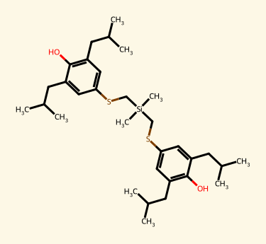 CC(C)Cc1cc(SC[Si](C)(C)CSc2cc(CC(C)C)c(O)c(CC(C)C)c2)cc(CC(C)C)c1O